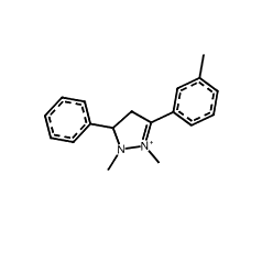 Cc1cccc(C2=[N+](C)N(C)C(c3ccccc3)C2)c1